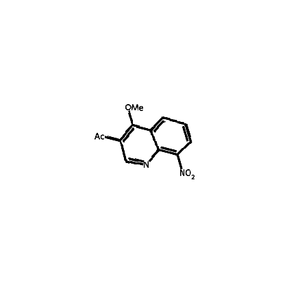 COc1c(C(C)=O)cnc2c([N+](=O)[O-])cccc12